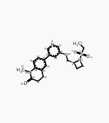 CCS(=O)(=O)N1CC[C@H]1COc1cncc(-c2ccc3c(c2)CCC(=O)N3C)c1